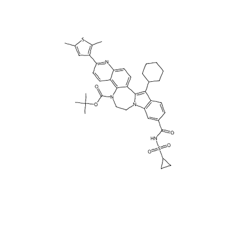 Cc1cc(-c2ccc3c4c(ccc3n2)-c2c(C3CCCCC3)c3ccc(C(=O)NS(=O)(=O)C5CC5)cc3n2CCN4C(=O)OC(C)(C)C)c(C)s1